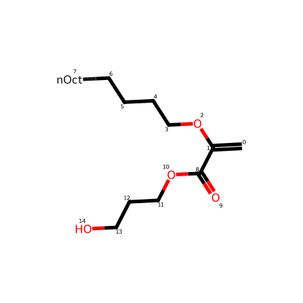 C=C(OCCCCCCCCCCCC)C(=O)OCCCO